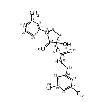 Cc1cc(N2CC[C@](O)(OC(=O)NCc3cc(F)cc(Cl)c3)C2=O)ccn1